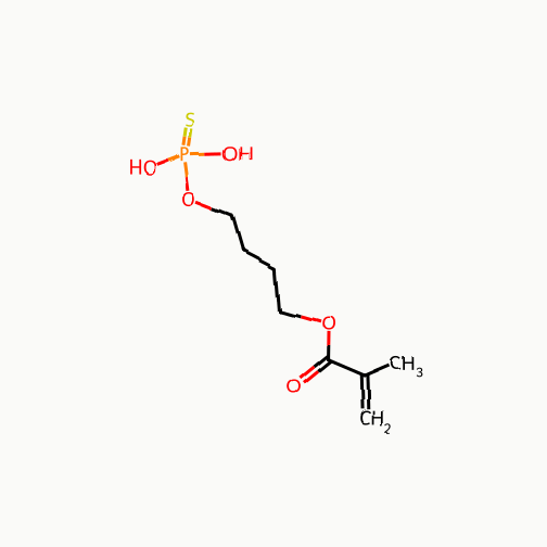 C=C(C)C(=O)OCCCCOP(O)(O)=S